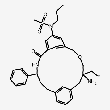 CCCN(c1cc2cc(c1)C(=O)NC(c1ccccc1)CCc1cccc(c1)CC(N)(CF)COC2)S(C)(=O)=O